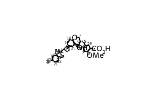 COc1ccc(C[C@H]2COc3ccc(OCc4nc5cc(F)ccc5s4)cc3[C@@H]2O)cc1C(=O)O